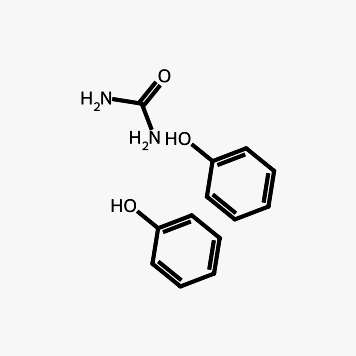 NC(N)=O.Oc1ccccc1.Oc1ccccc1